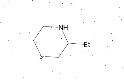 [CH2]CC1CSCCN1